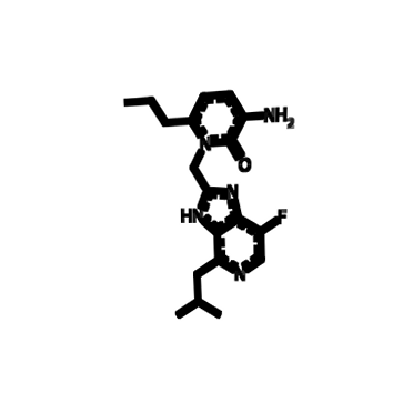 CCCc1ccc(N)c(=O)n1Cc1nc2c(F)cnc(CC(C)C)c2[nH]1